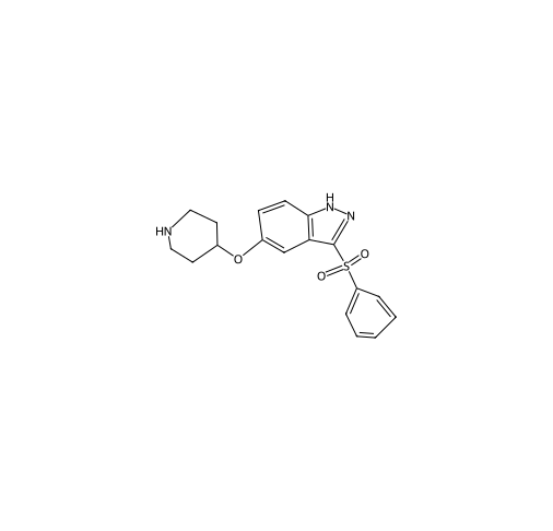 O=S(=O)(c1ccccc1)c1n[nH]c2ccc(OC3CCNCC3)cc12